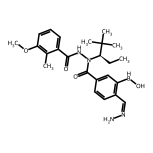 CC[C@@H](N(NC(=O)c1cccc(OC)c1C)C(=O)c1ccc(/C=N\N)c(BO)c1)C(C)(C)C